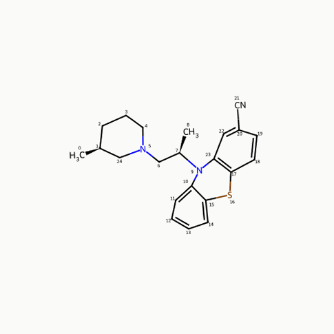 C[C@H]1CCCN(C[C@@H](C)N2c3ccccc3Sc3ccc(C#N)cc32)C1